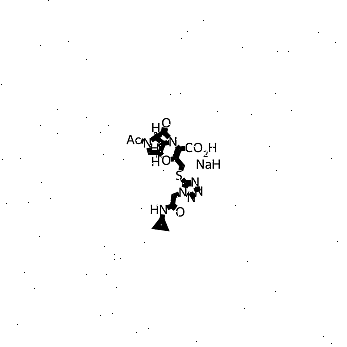 CC(=O)N1C[C@H]2OC(CSc3nnnn3CC(=O)NC3CC3)=C(C(=O)O)N3C(=O)[C@@H]1[C@@H]23.[NaH]